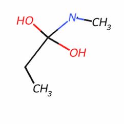 CCC(O)(O)[N]C